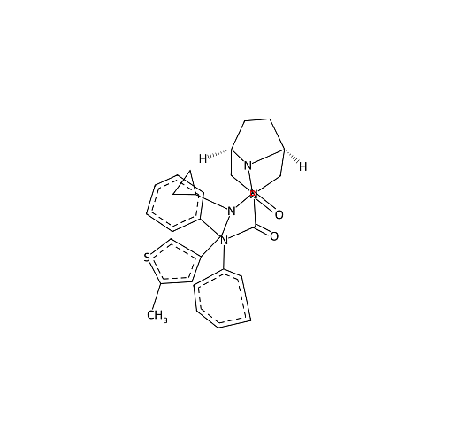 Cc1cc(CN(C(=O)N2[C@@H]3CC[C@H]2CN(C(=O)N(c2ccccc2)c2ccccc2)C3)C2CC2)cs1